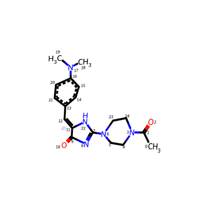 CC(=O)N1CCN(C2=NC(=O)/C(=C/c3ccc(N(C)C)cc3)N2)CC1